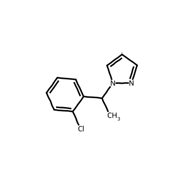 CC(c1ccccc1Cl)n1c[c]cn1